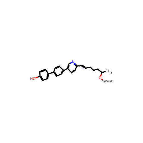 CCCCCOC(C)CCC/C=C/c1ccc(-c2ccc(-c3ccc(O)cc3)cc2)cn1